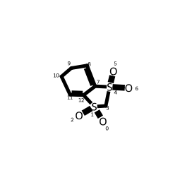 O=S1(=O)CS(=O)(=O)C2=CCCC=C21